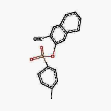 Cc1ccc(S(=O)(=O)Oc2cc3ccccc3cc2C=O)cc1